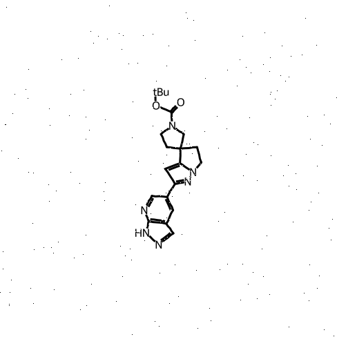 CC(C)(C)OC(=O)N1CCC2(CCn3nc(-c4cnc5[nH]ncc5c4)cc32)C1